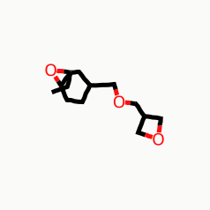 CCC12CC(COCC3COC3)CCC1O2